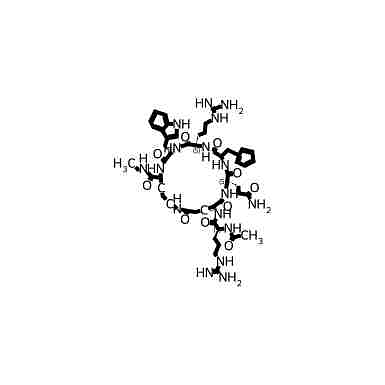 CCNC(=O)C1CCCNC(=O)CC[C@H](NC(=O)[C@H](CCCNC(=N)N)NC(C)=O)C(=O)N[C@@H](CCC(N)=O)C(=O)NC(Cc2ccccc2)C(=O)N[C@@H](CCCNC(=N)N)C(=O)N[C@@H](Cc2c[nH]c3ccccc23)C(=O)N1